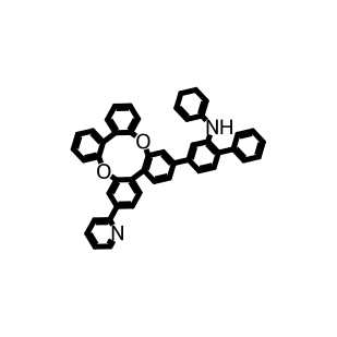 C1=CC(Nc2cc(-c3ccc4c(c3)Oc3ccccc3-c3ccccc3Oc3cc(-c5ccccn5)ccc3-4)ccc2-c2ccccc2)=CCC1